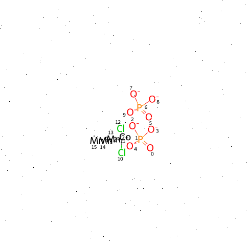 O=P([O-])([O-])[O-].O=P([O-])([O-])[O-].[Cl][Co][Cl].[Mn+2].[Mn+2].[Mn+2]